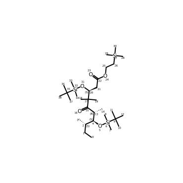 CC[C@H](C)[C@H](O[Si](C)(C)C(C)(C)C)[C@@H](C)C(=O)C(C)(C)[C@H](CC(=O)OCC[Si](C)(C)C)O[Si](C)(C)C(C)(C)C